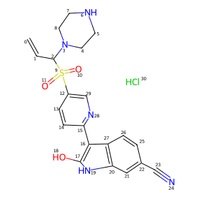 C=CC(N1CCNCC1)S(=O)(=O)c1ccc(-c2c(O)[nH]c3cc(C#N)ccc23)nc1.Cl